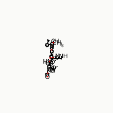 CC1(C)CC(c2ccccc2C2CC2)N(C2CC3(CCN(c4ccc(C(=O)NS(=O)(=O)c5ccc(NCC6CCOCC6)c([N+](=O)[O-])c5)c(Oc5cnc6[nH]ccc6c5)c4)CC3)C2)C1